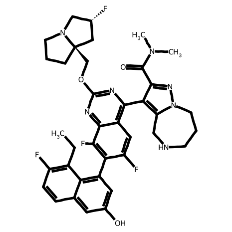 CCc1c(F)ccc2cc(O)cc(-c3c(F)cc4c(-c5c(C(=O)N(C)C)nn6c5CNCCC6)nc(OC[C@@]56CCCN5C[C@H](F)C6)nc4c3F)c12